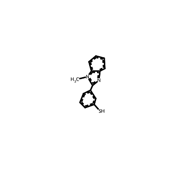 Cn1c(-c2cccc(S)c2)nc2ccccc21